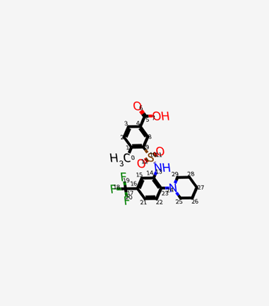 Cc1ccc(C(=O)O)cc1S(=O)(=O)Nc1cc(C(F)(F)F)ccc1N1CCCCC1